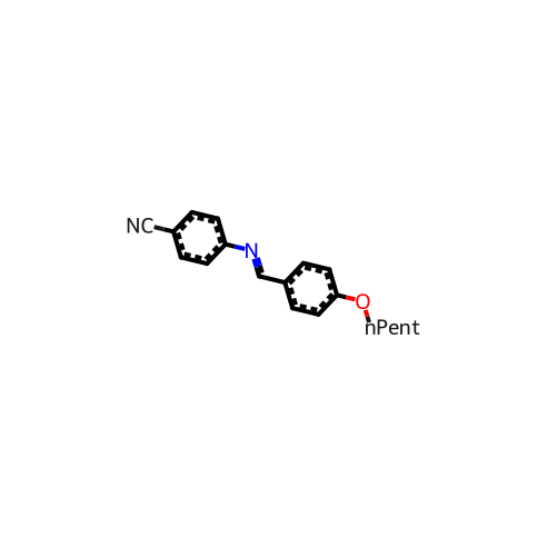 CCCCCOc1ccc(C=Nc2ccc(C#N)cc2)cc1